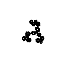 c1cc(-c2ccc(N(c3ccc(-c4cccc5oc6ccccc6c45)cc3)c3ccc(-c4cccc5oc6c7ccccc7ccc6c45)cc3)cc2)cc(-n2c3ccccc3c3ccccc32)c1